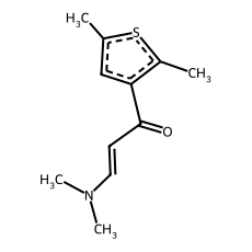 Cc1cc(C(=O)C=CN(C)C)c(C)s1